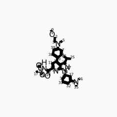 COCCN(C)c1ccc(-c2cc(C(=O)NS(C)(=O)=O)nc3c2c(C(C)C)nn3-c2cccc(N(C)C)c2)cc1